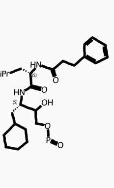 CC(C)C[C@H](NC(=O)CCc1ccccc1)C(=O)N[C@@H](CC1CCCCC1)C(O)COP=O